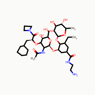 CCC1CC(C(=O)NCCN)C[C@@H](O[C@@H]2OC(CO)[C@H](O)C(O[C@@H](CC3CCCCC3)C(=O)N3CCC3)C2NC(C)=O)C1O[C@@H]1OC(C)[C@@H](O)C(O)C1O